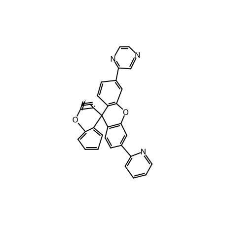 c1ccc(-c2ccc3c(c2)Oc2cc(-c4cnccn4)ccc2C32c3ccccc3Oc3ccccc32)nc1